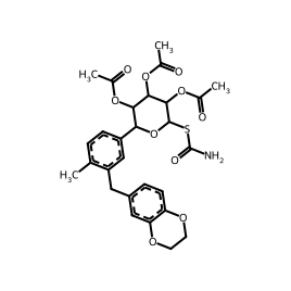 CC(=O)OC1C(SC(N)=O)OC(c2ccc(C)c(Cc3ccc4c(c3)OCCO4)c2)C(OC(C)=O)C1OC(C)=O